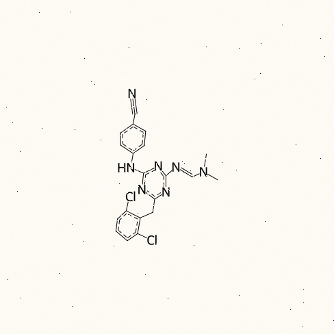 CN(C)C=Nc1nc(Cc2c(Cl)cccc2Cl)nc(Nc2ccc(C#N)cc2)n1